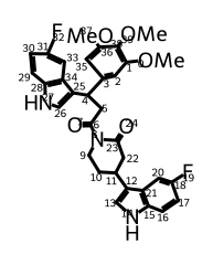 COc1cc(C(CC(=O)N2CCC(c3c[nH]c4ccc(F)cc34)CC2=O)c2c[nH]c3ccc(F)cc23)cc(OC)c1OC